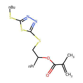 C=C(C)C(=O)OC(CCC)CSc1nnc(SCCCC)s1